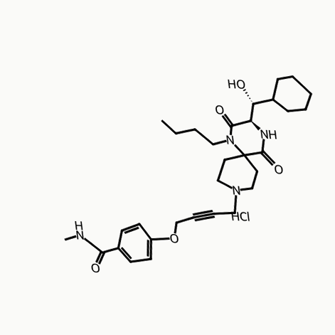 CCCCN1C(=O)[C@@H]([C@H](O)C2CCCCC2)NC(=O)C12CCN(CC#CCOc1ccc(C(=O)NC)cc1)CC2.Cl